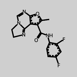 Cc1oc2c(c1C(=O)Nc1ccc(F)cc1F)C1=NCCN1C=N2